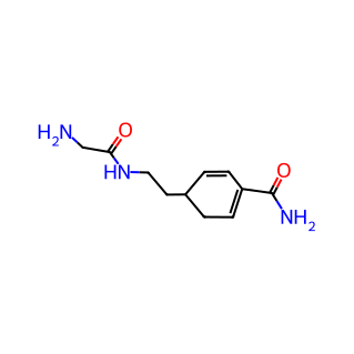 NCC(=O)NCCC1C=CC(C(N)=O)=CC1